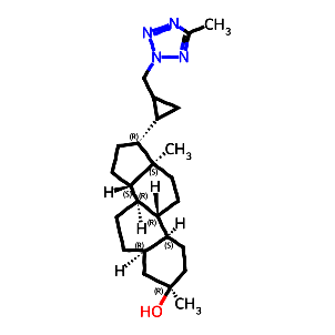 Cc1nnn(CC2CC2[C@H]2CC[C@H]3[C@@H]4CC[C@@H]5C[C@](C)(O)CC[C@@H]5[C@H]4CC[C@]23C)n1